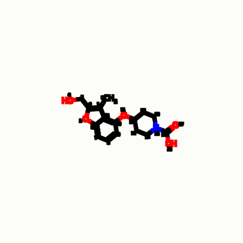 Cc1c(CO)oc2cccc(OC3CCN(C(=O)O)CC3)c12